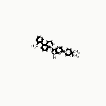 Cc1ccncc1-c1cccc2c1CCCN2c1n[nH]c2nc(N3CCC(C)(N)CC3)cnc12